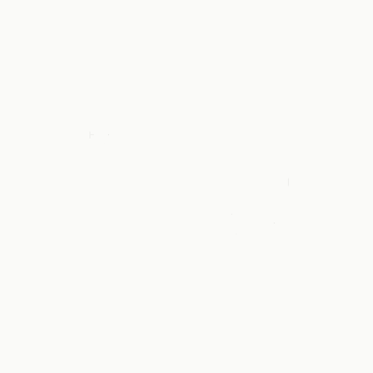 O=C(O)CCCCCCC(=O)OC(Cl)Cl